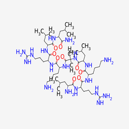 CC(C)CC(N)C(=O)NC(CCCNC(=N)N)C(=O)NC(CCCCN)C(=O)NC(CC(C)C)C(=O)NC(C)(C)C(=O)NC(CCCCN)C(=O)NC(CCCNC(=N)N)C(=O)NC(CC(C)C)C(=O)NC(CC(C)C)C(N)=O